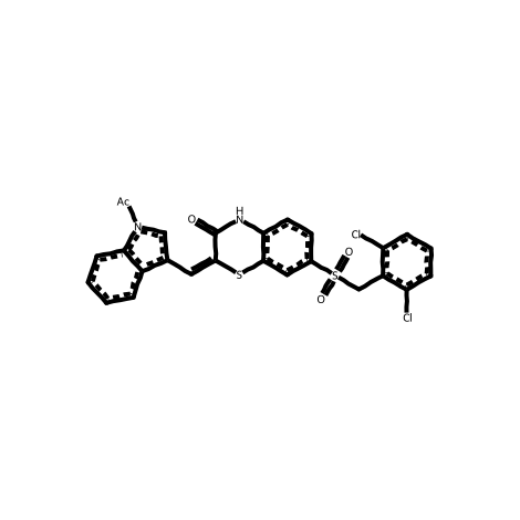 CC(=O)n1cc(/C=C2/Sc3cc(S(=O)(=O)Cc4c(Cl)cccc4Cl)ccc3NC2=O)c2ccccc21